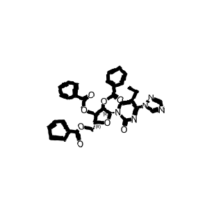 CCc1cn([C@@H]2O[C@H](COC(=O)c3ccccc3)C(OC(=O)c3ccccc3)C2OC(=O)c2ccccc2)c(=O)nc1-n1cncn1